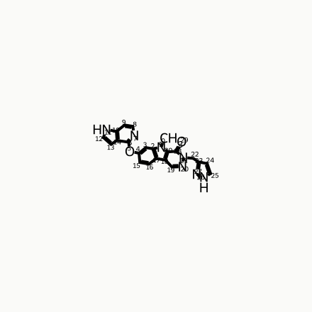 Cn1c2cc(Oc3nccc4[nH]ccc34)ccc2c2cnn(Cc3cc[nH]n3)c(=O)c21